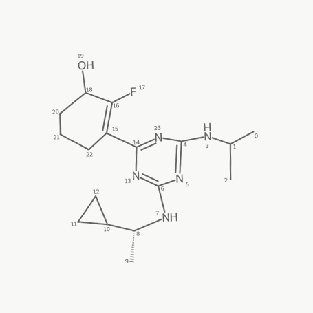 CC(C)Nc1nc(N[C@H](C)C2CC2)nc(C2=C(F)C(O)CCC2)n1